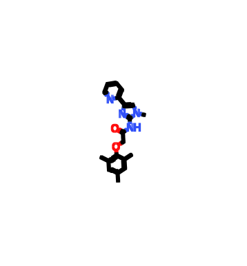 Cc1cc(C)c(OCC(=O)Nc2nc(-c3ccccn3)cn2C)c(C)c1